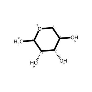 CC1OCC(O)[C@H](O)[C@@H]1O